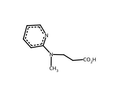 CN(CCC(=O)O)c1ccccn1